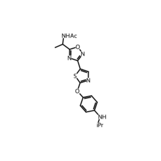 CC(=O)NC(C)c1nc(-c2cnc(Oc3ccc(NC(C)C)cc3)s2)no1